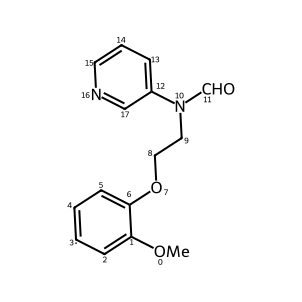 COc1c[c]ccc1OCCN(C=O)c1cccnc1